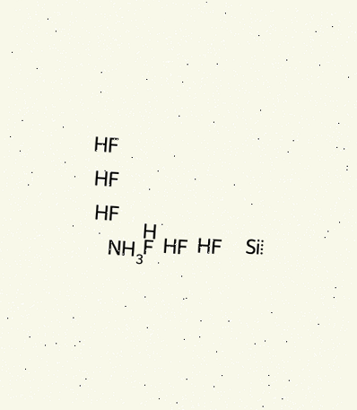 F.F.F.F.F.F.N.[Si]